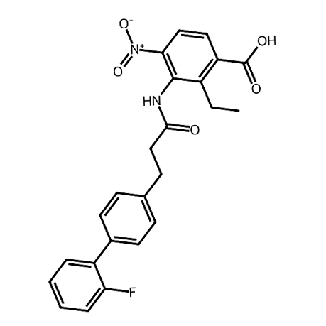 CCc1c(C(=O)O)ccc([N+](=O)[O-])c1NC(=O)CCc1ccc(-c2ccccc2F)cc1